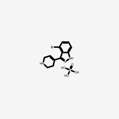 Brc1cccc2[nH]nc(C3=CCNCC3)c12.O=P(O)(O)O